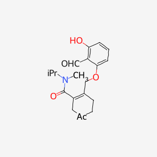 CC(C)N(C)C(=O)C1=C(COc2cccc(O)c2C=O)C[CH2][Ac][CH2]1